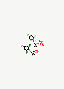 CS(=O)(=O)OCC1(COc2c(F)cc(Br)cc2F)CC1.OCC1(COc2c(F)cc(Br)cc2F)CC1